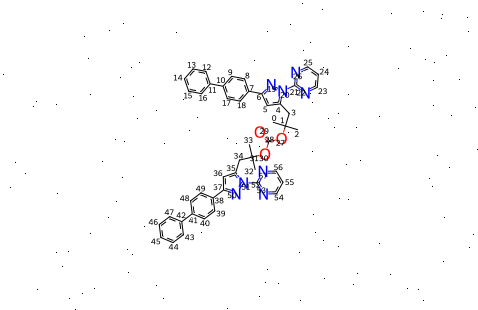 CC(C)(Cc1cc(-c2ccc(-c3ccccc3)cc2)nn1-c1ncccn1)OC(=O)OC(C)(C)Cc1cc(-c2ccc(-c3ccccc3)cc2)nn1-c1ncccn1